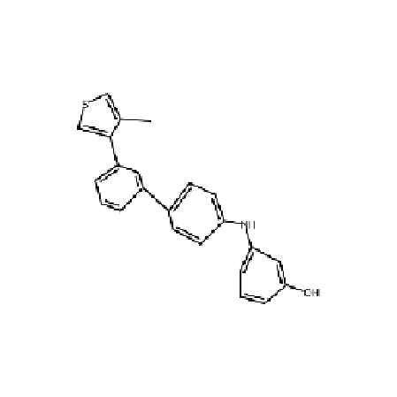 Cc1cscc1-c1cc[c]c(-c2ccc(Nc3cccc(O)c3)cc2)c1